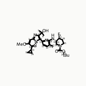 COc1cc2nc(C(C)(C)O)c(-c3ccc(F)c(N[C@H]4CN(C(=O)OC(C)(C)C)CC[C@@H]4F)n3)n2nc1C1CC1